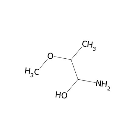 COC(C)C(N)O